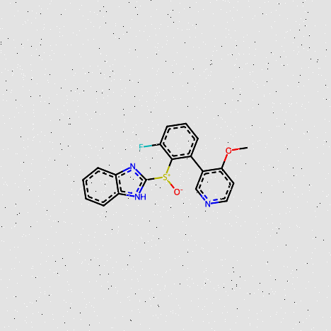 COc1ccncc1-c1cccc(F)c1[S+]([O-])c1nc2ccccc2[nH]1